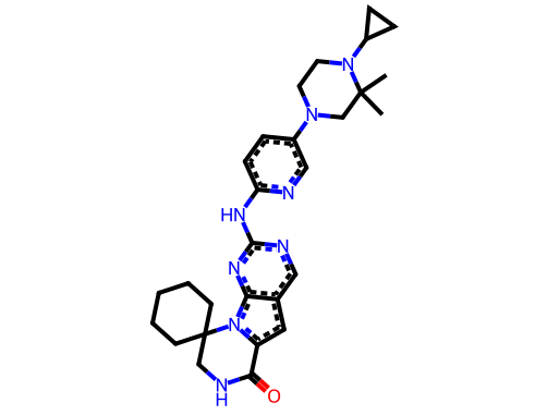 CC1(C)CN(c2ccc(Nc3ncc4cc5n(c4n3)C3(CCCCC3)CNC5=O)nc2)CCN1C1CC1